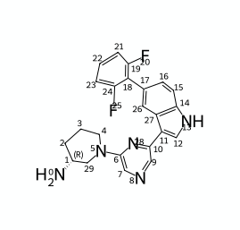 N[C@@H]1CCCN(c2cncc(-c3c[nH]c4ccc(-c5c(F)cccc5F)cc34)n2)C1